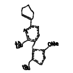 COc1ccc(C(C)(C)C)cc1-c1ccc(C2=CCCC2)nc1C(C)(C)C